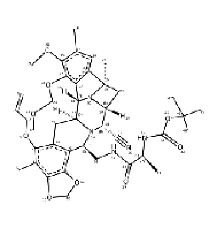 C=CCOc1c(C)c2c(c3c1C[C@H]1[C@@H]4c5c(cc(C)c(OC)c5OCOC)[C@@]5(C)C[C@H]([C@H](C#N)N1[C@H]3CNC(=O)[C@H](C)NC(=O)OC(C)(C)C)N45)OCO2